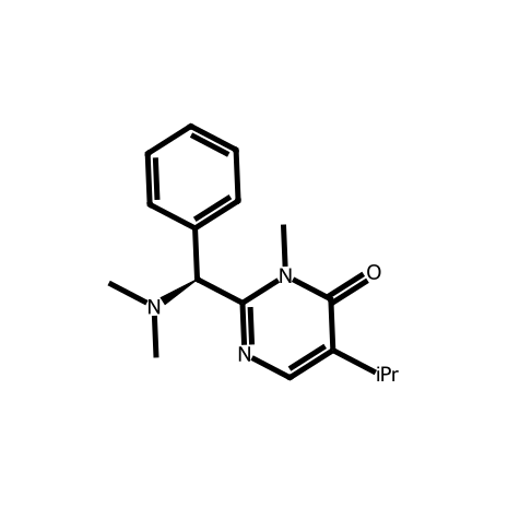 CC(C)c1cnc([C@H](c2ccccc2)N(C)C)n(C)c1=O